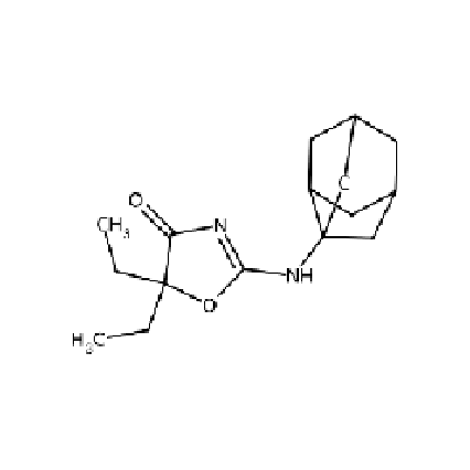 CCC1(CC)OC(NC23CC4CC(CC2C4)C3)=NC1=O